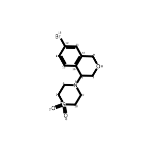 O=S1(=O)CCN(C2COCc3cc(Br)ccc32)CC1